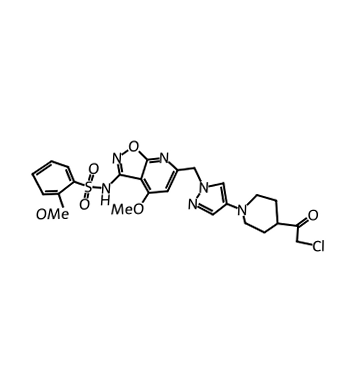 COc1ccccc1S(=O)(=O)Nc1noc2nc(Cn3cc(N4CCC(C(=O)CCl)CC4)cn3)cc(OC)c12